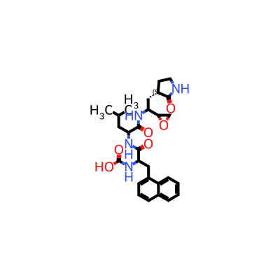 CC(C)CC(NC(=O)C(Cc1cccc2ccccc12)NC(=O)O)C(=O)NC(C[C@@H]1CCNC1=O)C1CO1